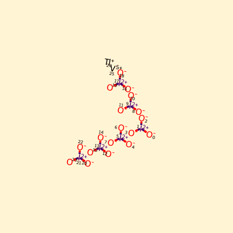 [O-][I+2]([O-])[O-].[O-][I+2]([O-])[O-].[O-][I+2]([O-])[O-].[O-][I+2]([O-])[O-].[O-][I+2]([O-])[O-].[O-][I+2]([O-])[O-].[Tl+].[V+5]